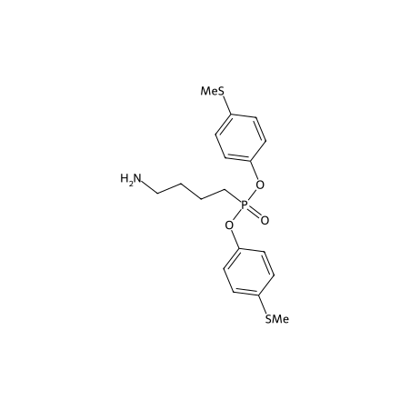 CSc1ccc(OP(=O)(CCCCN)Oc2ccc(SC)cc2)cc1